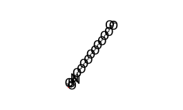 CC(C)(C)OC(=O)CCOCCOCCOCCOCCOCCOCCOCCOCCOCCOCCn1cc(B2OC(C)(C)C(C)(C)O2)cn1